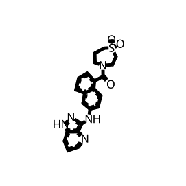 O=C(c1cccc2cc(Nc3n[nH]c4cccnc34)ccc12)N1CCCS(=O)(=O)CC1